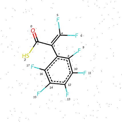 O=C(S)C(=C(F)F)c1c(F)c(F)c(F)c(F)c1F